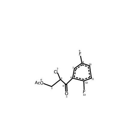 CC(=O)OCC(Cl)C(=O)c1cc(F)ccc1F